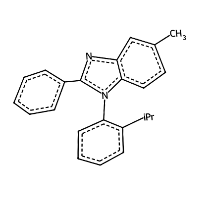 Cc1ccc2c(c1)nc(-c1ccccc1)n2-c1ccccc1C(C)C